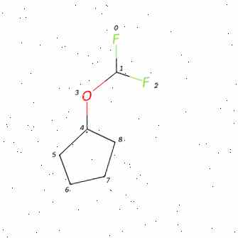 FC(F)O[C]1CCCC1